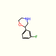 Fc1cccc(C2CNCCO2)c1